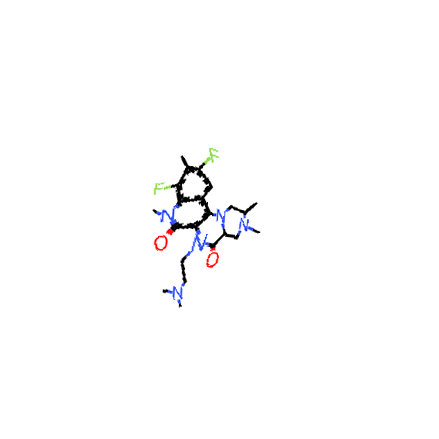 Cc1c(F)cc2c3c(c(=O)n(C)c2c1F)N(CCN(C)C)C(=O)C1CN(C)C(C)CN31